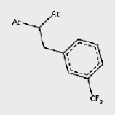 CC(=O)C(Cc1cccc(C(F)(F)F)c1)C(C)=O